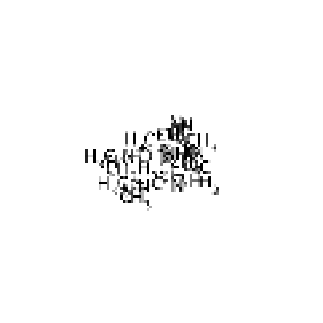 Cc1cc(-c2[nH]nc(-c3ccc(N4CC(N(C)C)C4)cc3)c2C(C)C)cn2ncnc12.Cc1cc(-c2[nH]nc(-c3ccc(N4CC(N(C)C)C4)cc3)c2C(C)C)cn2ncnc12